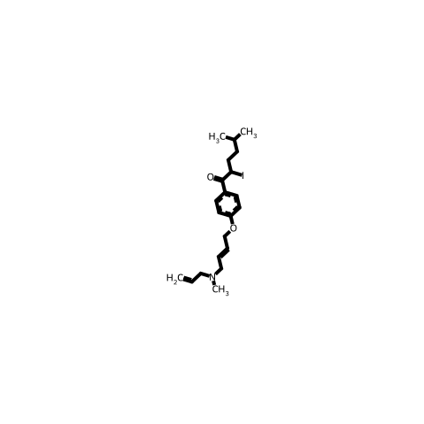 C=CCN(C)CC=CCOc1ccc(C(=O)C(I)CCC(C)C)cc1